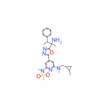 CC1CC1CN(C)c1cc(-c2nnc(C(C)(N)C(C)c3ccccc3)o2)cc(N(C)S(C)(=O)=O)n1